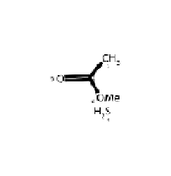 COC(C)=O.S